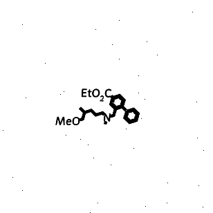 CCOC(=O)c1ccc(-c2ccccc2)c(CN(C)CCCC(C)COC)c1